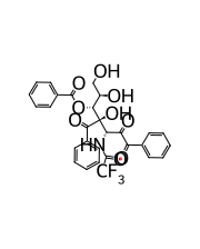 O=C(O[C@H]([C@H](O)CO)[C@@](O)(C(=O)c1ccccc1)[C@@H](NC(=O)C(F)(F)F)C(=O)C(=O)c1ccccc1)c1ccccc1